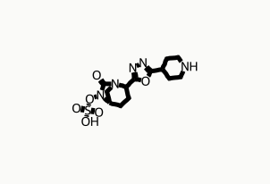 O=C1N2CC(CCC2c2nnc(C3CCNCC3)o2)N1OS(=O)(=O)O